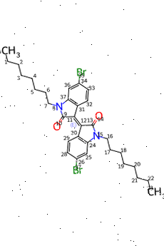 CCCCCCCCN1C(=O)/C(=C2/C(=O)N(CCCCCCCC)c3cc(Br)ccc32)c2ccc(Br)cc21